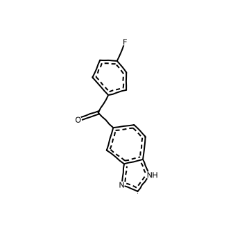 O=C(c1ccc(F)cc1)c1ccc2[nH][c]nc2c1